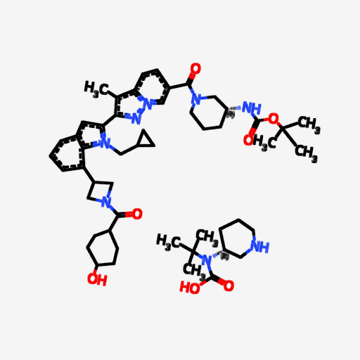 CC(C)(C)N(C(=O)O)[C@@H]1CCCNC1.Cc1c(-c2cc3cccc(C4CN(C(=O)C5CCC(O)CC5)C4)c3n2CC2CC2)nn2cc(C(=O)N3CCC[C@@H](NC(=O)OC(C)(C)C)C3)ccc12